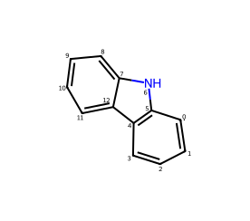 [c]1cccc2c1[nH]c1ccccc12